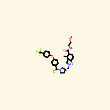 COCCNC(=O)c1ccc2nn(C[C@H]3CCN(C(=O)c4ccc(Oc5ccc(C(F)(F)F)cc5)cc4)C3)cc2c1C